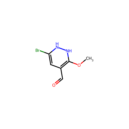 COC1=C(C=O)C=C(Br)NN1